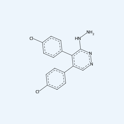 NNc1nncc(-c2ccc(Cl)cc2)c1-c1ccc(Cl)cc1